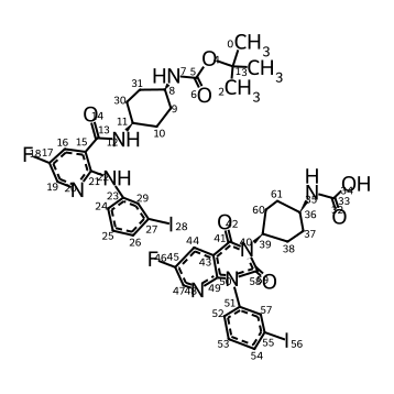 CC(C)(C)OC(=O)N[C@H]1CC[C@@H](NC(=O)c2cc(F)cnc2Nc2cccc(I)c2)CC1.O=C(O)N[C@H]1CC[C@@H](n2c(=O)c3cc(F)cnc3n(-c3cccc(I)c3)c2=O)CC1